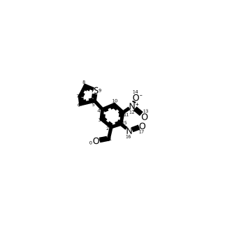 O=Cc1cc(-c2cccs2)cc([N+](=O)[O-])c1N=O